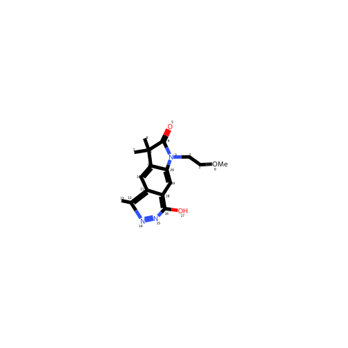 COCCN1C(=O)C(C)(C)c2cc3c(C)nnc(O)c3cc21